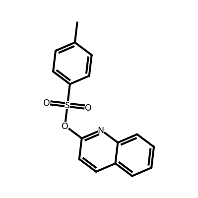 Cc1ccc(S(=O)(=O)Oc2ccc3ccccc3n2)cc1